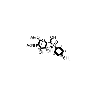 CO[C@H]1O[C@H](C(O)S(=O)(=O)c2ccc(C)cc2)[C@@H](O)[C@@H](O)[C@H]1NC(C)=O